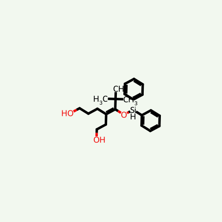 CC(C)(C)/C(O[SiH](c1ccccc1)c1ccccc1)=C(/CCO)CCCO